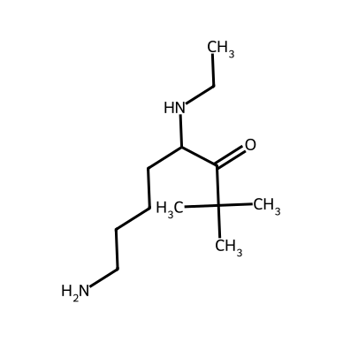 CCNC(CCCCN)C(=O)C(C)(C)C